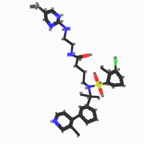 Cc1cnccc1-c1cccc(C(C)(C)N(CCCC(=O)NCCNc2ncc(C(=O)O)cn2)S(=O)(=O)c2cccc(Cl)c2C)c1